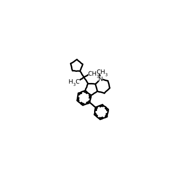 CN1CCCC2c3c(-c4ccccc4)cccc3C(C(C)(C)C3CCCC3)C21